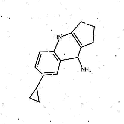 NC1C2=C(CCC2)Nc2ccc(C3CC3)cc21